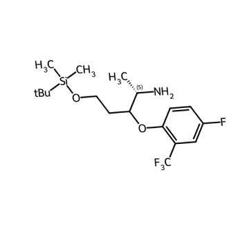 C[C@H](N)C(CCO[Si](C)(C)C(C)(C)C)Oc1ccc(F)cc1C(F)(F)F